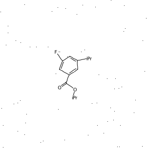 CC(C)OC(=O)c1cc(F)cc(C(C)C)c1